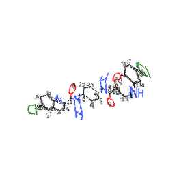 O=C(NC1CCC(NC(=O)C2CNc3cc(Cl)ccc3O2)CC1)c1ccc2cc(Cl)ccc2n1